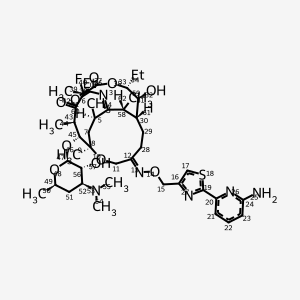 CCC(=O)/N=C1\[C@H](C)C[C@@]2(C)OC/C(=N/OCc3csc(-c4cccc(N)n4)n3)CC[C@@H]([C@H](O)[C@@H](CC)OC(=O)[C@@](C)(F)C(=O)[C@H](C)[C@H]2O[C@@H]2O[C@H](C)C[C@H](N(C)C)[C@H]2O)[C@H]1C